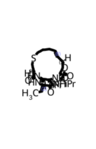 C/C=C1\NC(=O)[C@H]2CSCCC/C=C/[C@H](CC(=O)N[C@H](C(C)C)C(=O)N2)OC(=O)[C@H](C(C)C)NC1=O